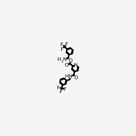 NC(OC(=O)c1cc(C(=O)NCc2cccc(C(F)(F)F)c2)ccn1)c1cccc(C(F)(F)F)c1